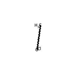 CCCCCC=CCC=CCC=CCCCCCCC(=O)Cl